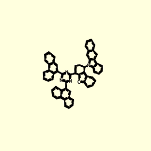 C1=C(c2nc(-c3cc4ccccc4c4ccccc34)nc(-c3cc4ccccc4c4ccccc34)n2)c2oc3ccccc3c2C(n2c3ccccc3c3cc4ccccc4cc32)C1